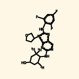 [2H]C1CC(O)CC([2H])([2H])C1Nc1ncc2nc(Nc3c(F)cc(F)cc3F)n(C3CCOC3)c2n1